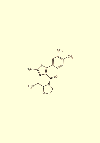 Cc1nc(C(=O)N2CCOC2CN)c(-c2ccc(C)c(C)c2)s1